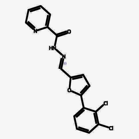 O=C(N/N=C/c1ccc(-c2cccc(Cl)c2Cl)o1)c1ccccn1